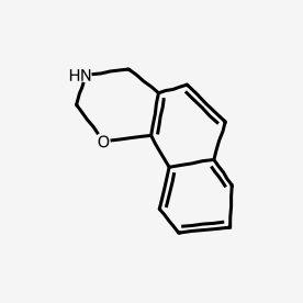 c1ccc2c3c(ccc2c1)CNCO3